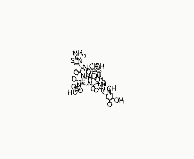 C[C@H](NC(=O)NCc1cc(=O)c(O)cn1O)C(=O)NC[C@H]1[C@H](NC(=O)C(=NOC(C)(C)C(=O)O)c2csc(N)n2)C(=O)N1S(=O)(=O)O